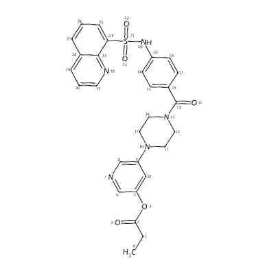 CCC(=O)Oc1cncc(N2CCN(C(=O)c3ccc(NS(=O)(=O)c4cccc5cccnc45)cc3)CC2)c1